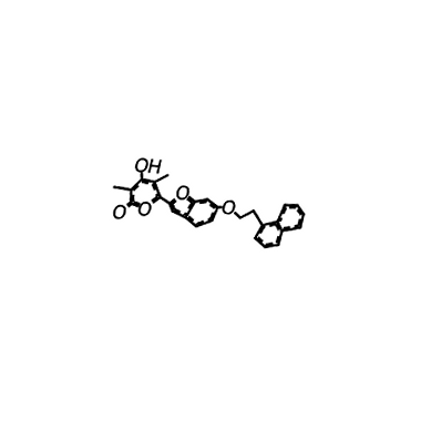 Cc1c(-c2cc3ccc(OCCc4cccc5ccccc45)cc3o2)oc(=O)c(C)c1O